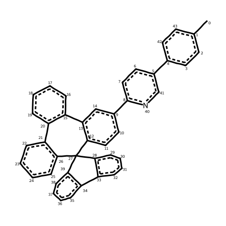 Cc1ccc(-c2ccc(-c3ccc4c(c3)-c3ccccc3-c3ccccc3C43c4ccccc4-c4ccccc43)nc2)cc1